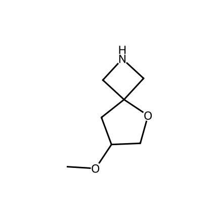 COC1COC2(CNC2)C1